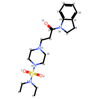 CCN(CC)S(=O)(=O)N1CCN(CCC(=O)N2CCc3ccccc32)CC1